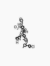 CC1CCC(CN2CCN(c3ccc(C(=O)NS(=O)(=O)c4ccc(NCC5CCOCC5)c([N+](=O)[O-])c4)c(Oc4cnc5[nH]ccc5c4)c3)C(C)C2)=C(c2ccc(Cl)cc2)C1